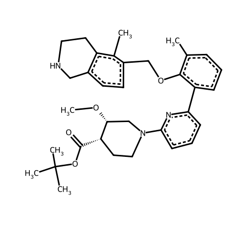 CO[C@@H]1CN(c2cccc(-c3cccc(C)c3OCc3ccc4c(c3C)CCNC4)n2)CC[C@@H]1C(=O)OC(C)(C)C